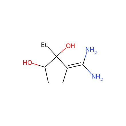 CCC(O)(C(C)=C(N)N)C(C)O